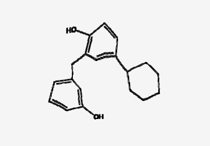 Oc1cccc(Cc2cc(C3CCCCC3)ccc2O)c1